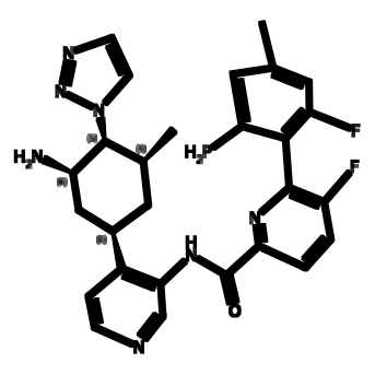 Cc1cc(F)c(-c2nc(C(=O)Nc3cnccc3[C@H]3C[C@@H](N)[C@@H](n4ccnn4)[C@@H](C)C3)ccc2F)c(P)c1